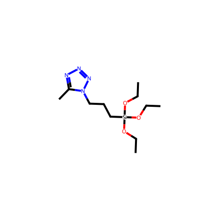 CCO[Si](CCCn1nnnc1C)(OCC)OCC